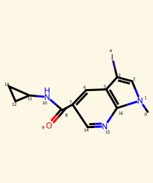 Cn1cc(I)c2cc(C(=O)NC3CC3)cnc21